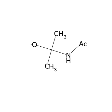 CC(=O)NC(C)(C)[O]